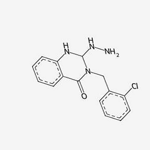 NNC1Nc2ccccc2C(=O)N1Cc1ccccc1Cl